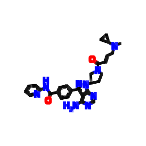 CN(CC=CC(=O)N1CC[C@@H](n2nc(-c3ccc(C(=O)Nc4ccccn4)cc3)c3c(N)ncnc32)C1)C1CC1